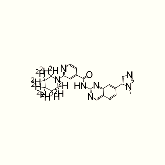 [2H]C1([2H])N(c2cc(C(=O)Nc3ncc4ccc(-c5cncn5C)cc4n3)ccn2)C([2H])([2H])C([2H])([2H])C([2H])([2H])C1([2H])[2H]